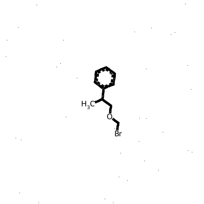 CC(COCBr)c1ccccc1